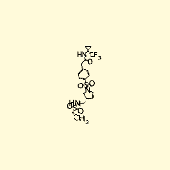 C=CS(=O)(=O)NC[C@H]1CCN(S(=O)(=O)c2ccc(CC(=O)NC3(C(F)(F)F)CC3)cc2)C1